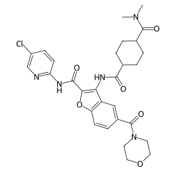 CN(C)C(=O)C1CCC(C(=O)Nc2c(C(=O)Nc3ccc(Cl)cn3)oc3ccc(C(=O)N4CCOCC4)cc23)CC1